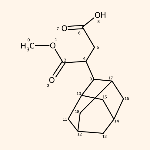 COC(=O)C(CC(=O)O)C1C2CC3CC(C2)CC1C3